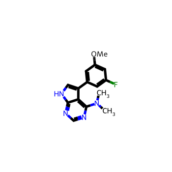 COc1cc(F)cc(-c2c[nH]c3ncnc(N(C)C)c23)c1